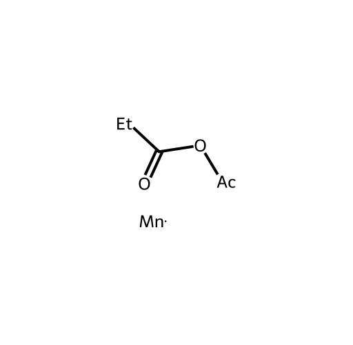 CCC(=O)OC(C)=O.[Mn]